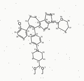 COC(OC)C1CCN(c2ccc(C3=C(c4ccccc4Cl)CCCc4c3ccc3c4cnn3C3CCCCO3)cc2)CC1